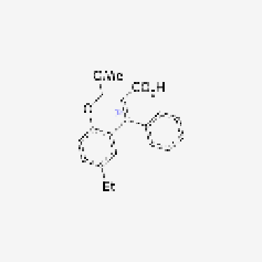 CCc1ccc(OCOC)c(/C(=C/C(=O)O)c2ccccc2)c1